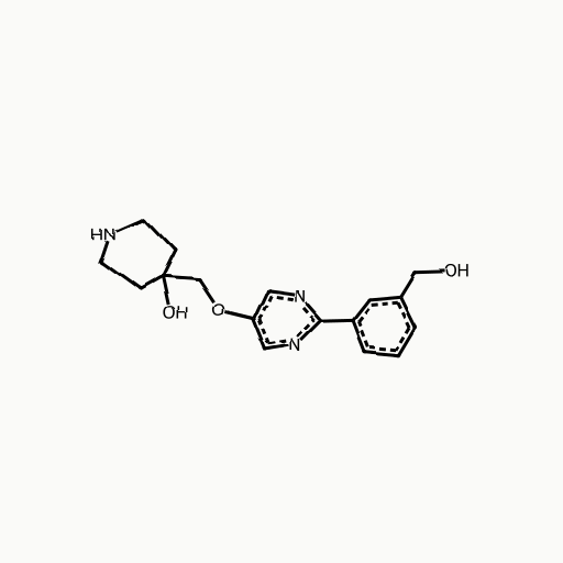 OCc1cccc(-c2ncc(OCC3(O)CCNCC3)cn2)c1